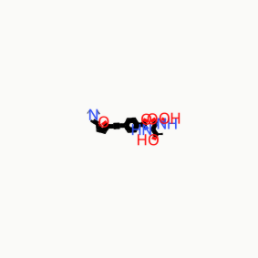 C[C@@H](O)[C@H](NC(=O)c1ccc(C#Cc2ccc(CN(C)C)o2)cc1)C(=O)NO